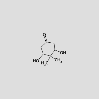 CC1(C)C(O)CC(=O)CC1O